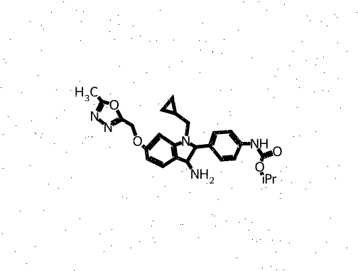 Cc1nnc(COc2ccc3c(c2)N(CC2CC2)C(c2ccc(NC(=O)OC(C)C)cc2)C3N)o1